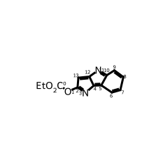 CCOC(=O)OC1=NC2=c3ccccc3=NC2=C1